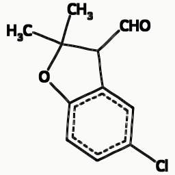 CC1(C)Oc2ccc(Cl)cc2C1C=O